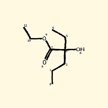 CCCC(O)(CC)C(=O)OCC